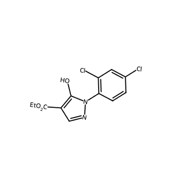 CCOC(=O)c1cnn(-c2ccc(Cl)cc2Cl)c1O